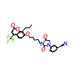 CCCc1c(OCCCCCN2C(=O)CN(c3cccc(C#N)c3)C2=O)ccc2c(C(F)(F)F)cc(=O)oc12